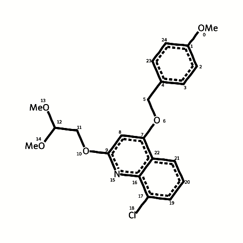 COc1ccc(COc2cc(OCC(OC)OC)nc3c(Cl)cccc23)cc1